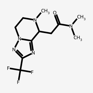 CN(C)C(=O)CC1c2nc(C(F)(F)F)nn2CCN1C